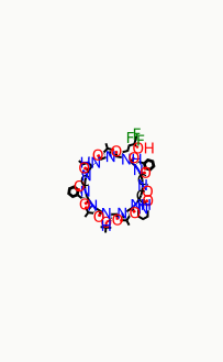 CC[C@H](C)[C@@H]1NC(=O)[C@H](CC(C)C)N(C)C(=O)[C@H](CCCC(O)C(F)(F)F)NC(=O)[C@H](Cc2ccccc2)N(C)C(=O)CN(C)C(=O)C[C@@H](C(=O)N2CCCCC2)NC(=O)[C@H](CC(C)C)N(C)C(=O)[C@H](COC(C)(C)C)NC(=O)[C@H](CC(C)C)N(C)C(=O)[C@H](Cc2ccccc2)N(C)C(=O)CN(C)C1=O